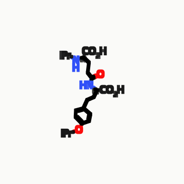 CC(C)N[C@@H](CCC(=O)N[C@H](CCc1ccc(OC(C)C)cc1)C(=O)O)C(=O)O